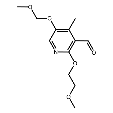 COCCOc1ncc(OCOC)c(C)c1C=O